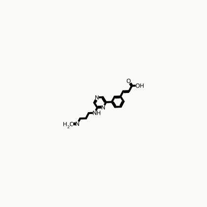 C=NCCCNc1cncc(-c2cccc(/C=C/C(=O)O)c2)n1